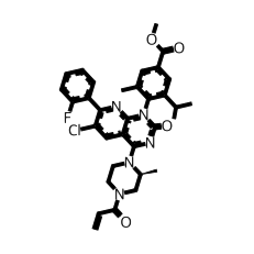 C=CC(=O)N1CCN(c2nc(=O)n(-c3c(C)cc(C(=O)OC)cc3C(C)C)c3nc(-c4ccccc4F)c(Cl)cc23)[C@@H](C)C1